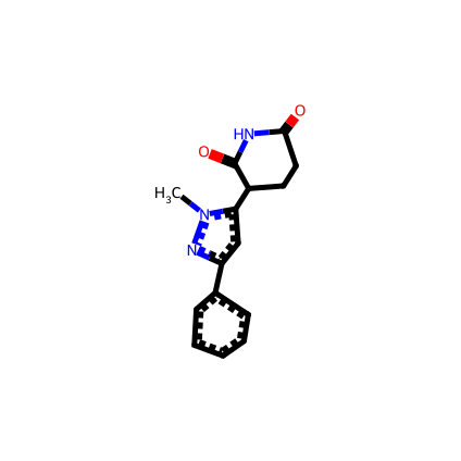 Cn1nc(-c2ccccc2)cc1C1CCC(=O)NC1=O